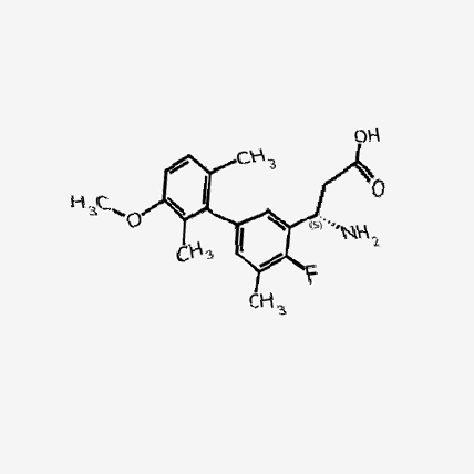 COc1ccc(C)c(-c2cc(C)c(F)c([C@@H](N)CC(=O)O)c2)c1C